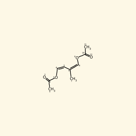 CC(=O)O/C=C\C(C)=C/OC(C)=O